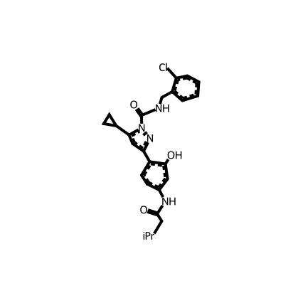 CC(C)CC(=O)Nc1ccc(-c2cc(C3CC3)n(C(=O)NCc3ccccc3Cl)n2)c(O)c1